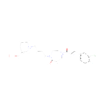 O=C(/C=C/c1ccc(F)c(Cl)c1)N1CCC(=O)N(CCCCN2CCCC(CO)C2)CC1